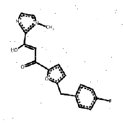 Cn1ccnc1C(O)=CC(=O)c1ccc(Cc2ccc(F)cc2)o1